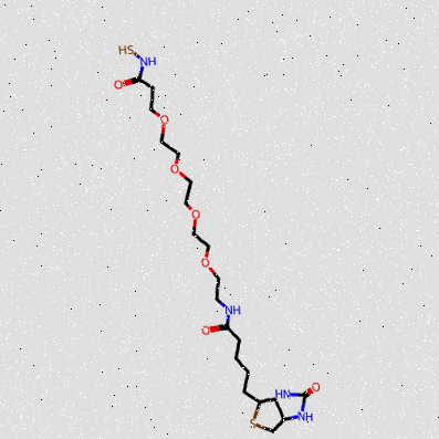 O=C(CCOCCOCCOCCOCCNC(=O)CCCCC1SCC2NC(=O)NC21)NS